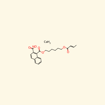 CC=CC(=O)OCCCCCCOC(=O)c1c(C(=O)O)ccc2ccccc12.[CaH2]